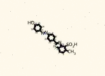 Cc1ccc2sc(-c3ccc(/N=N/c4ccc(O)cc4)cc3)nc2c1S(=O)(=O)O